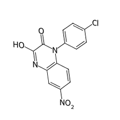 O=c1c(O)nc2cc([N+](=O)[O-])ccc2n1-c1ccc(Cl)cc1